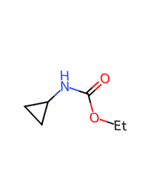 CCOC(=O)NC1CC1